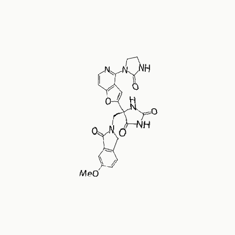 COc1ccc2c(c1)C(=O)N(C[C@@]1(c3cc4c(N5CCNC5=O)nccc4o3)NC(=O)NC1=O)C2